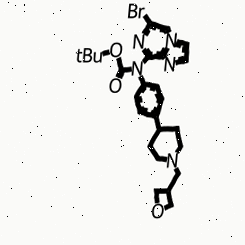 CC(C)(C)OC(=O)N(c1ccc(C2CCN(CC3COC3)CC2)cc1)c1nc(Br)cn2ccnc12